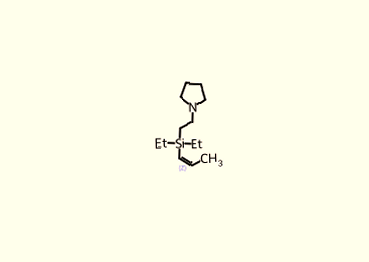 C/C=C\[Si](CC)(CC)CCN1CCCC1